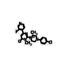 C[C@@H]1CN(c2ccc(Cl)cc2)CCN1c1nc(-c2ccncc2F)cc(=O)n1C